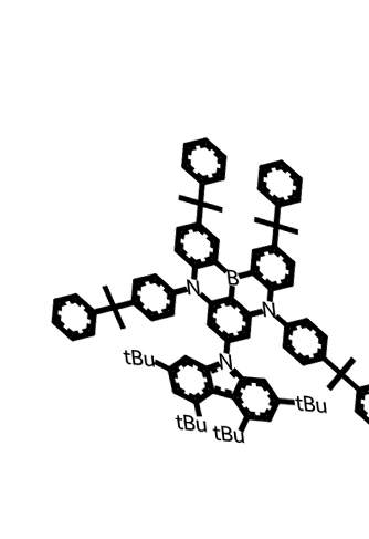 CC(C)(C)c1cc(C(C)(C)C)c2c3c(C(C)(C)C)cc(C(C)(C)C)cc3n(-c3cc4c5c(c3)N(c3ccc(C(C)(C)c6ccccc6)cc3)c3ccc(C(C)(C)c6ccccc6)cc3B5c3cc(C(C)(C)c5ccccc5)ccc3N4c3ccc(C(C)(C)c4ccccc4)cc3)c2c1